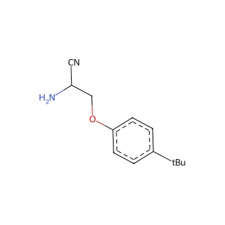 CC(C)(C)c1ccc(OCC(N)C#N)cc1